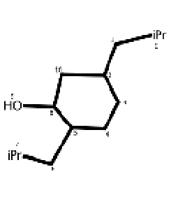 CC(C)CC1CCC(CC(C)C)C(O)C1